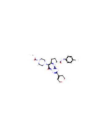 CC(C)(C)OC(=O)N1CCN(c2c3n(c4nc(C5=CCOCC5)nn4c2=O)[C@H](C(=O)Nc2ccc(C(F)(F)F)cc2)CC3)CC1